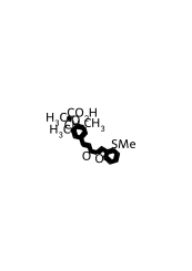 CSc1cccc2oc(C(=O)/C=C/c3cc(C)c(OC(C)(C)C(=O)O)c(C)c3)cc12